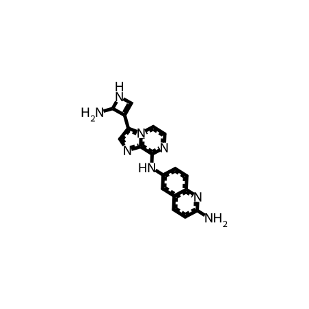 Nc1ccc2cc(Nc3nccn4c(C5=CNC5N)cnc34)ccc2n1